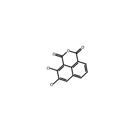 O=C1OC(=O)c2c(Cl)c(Cl)cc3cccc1c23